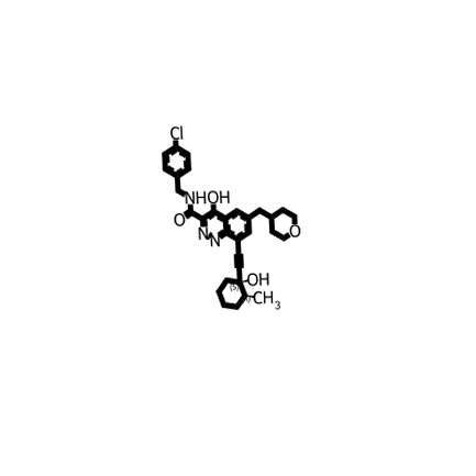 C[C@@H]1CCCC[C@@]1(O)C#Cc1cc(CC2CCOCC2)cc2c(O)c(C(=O)NCc3ccc(Cl)cc3)nnc12